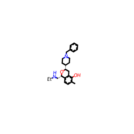 CCNC[C@@H]1O[C@H](C2CCN(Cc3ccccc3)CC2)Cc2c1ccc(C)c2O